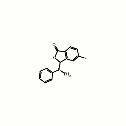 O=C1OC(P(P)c2ccccc2)c2cc(F)ccc21